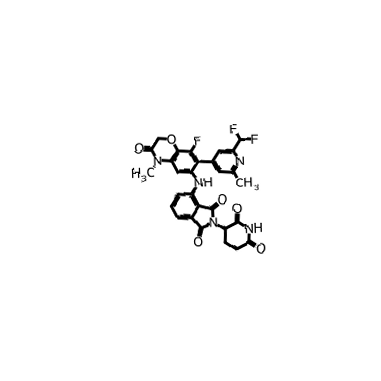 Cc1cc(-c2c(Nc3cccc4c3C(=O)N(C3CCC(=O)NC3=O)C4=O)cc3c(c2F)OCC(=O)N3C)cc(C(F)F)n1